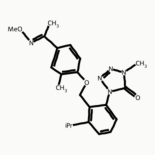 CON=C(C)c1ccc(OCc2c(C(C)C)cccc2-n2nnn(C)c2=O)c(C)c1